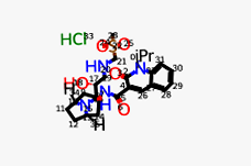 CC(C)n1c(=O)c(C(=O)N[C@@H]2C[C@H]3CC[C@@H](C2)N3C[C@H](O)CNCS(C)(=O)=O)cc2ccccc21.Cl